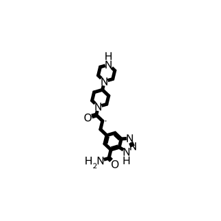 NC(=O)c1cc(C[CH]C(=O)N2CCC(N3CCNCC3)CC2)cc2nn[nH]c12